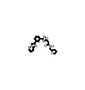 O=C(Cc1nc(-c2cccc(-c3cn4ncccc4n3)c2)no1)NCC1CCCO1